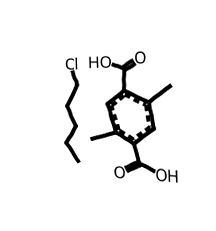 CCCCCCl.Cc1cc(C(=O)O)c(C)cc1C(=O)O